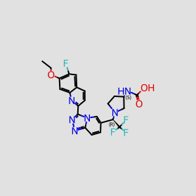 CCOc1cc2nc(-c3nnc4ccc([C@@H](N5CC[C@H](NC(=O)O)C5)C(F)(F)F)cn34)ccc2cc1F